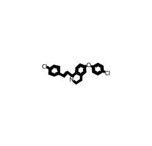 Clc1ccc(C=CC2=NCCc3cc(Oc4ccc(Cl)cc4)ccc32)cc1